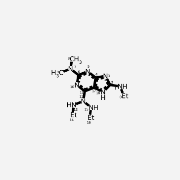 CCNc1nc2nc(N(C)C)nc(N(NCC)NCC)c2[nH]1